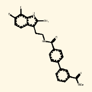 CNC(=O)c1cccc(-c2ccc(C(=O)NCCc3c(C)[nH]c4c(F)c(F)ccc34)cc2)c1